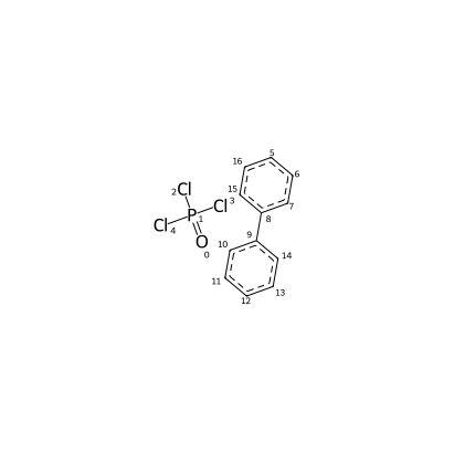 O=P(Cl)(Cl)Cl.c1ccc(-c2ccccc2)cc1